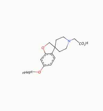 CCCCCCCOc1ccc2c(c1)OCC21CCN(CC(=O)O)CC1